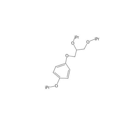 CC(C)OCC(COc1ccc(OC(C)C)cc1)OC(C)C